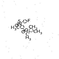 C=C1CC(C)CC(CC)(COC(=O)c2ccc(N3C(=O)CSC3c3ccc(F)cc3)c(C)c2)C1